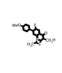 COc1ccc(-c2cc3c(cc2F)c(=O)c(C(=O)O)c2n3C(C)S2)cc1